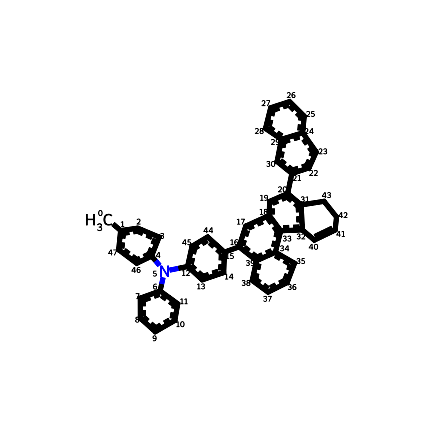 Cc1ccc(N(c2ccccc2)c2ccc(-c3cc4cc(-c5ccc6ccccc6c5)c5c(c4c4ccccc34)C=CCC5)cc2)cc1